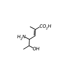 CC(=CC(N)C(C)O)C(=O)O